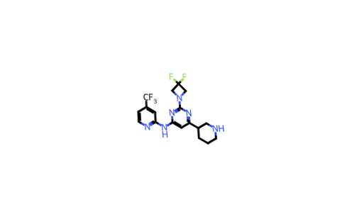 FC1(F)CN(c2nc(Nc3cc(C(F)(F)F)ccn3)cc(C3CCCNC3)n2)C1